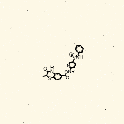 CC1Sc2ccc(C(=O)ONc3ccc([S+]([O-])Nc4ccccc4)cn3)cc2NC1=O